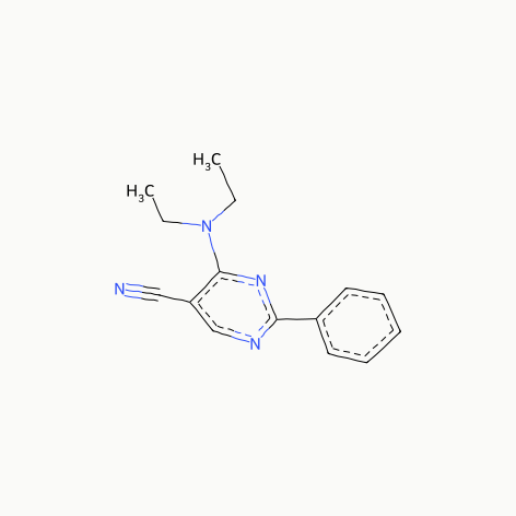 CCN(CC)c1nc(-c2ccccc2)ncc1C#N